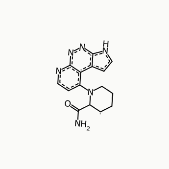 NC(=O)C1[CH]CCCN1c1ccnc2nnc3[nH]ccc3c12